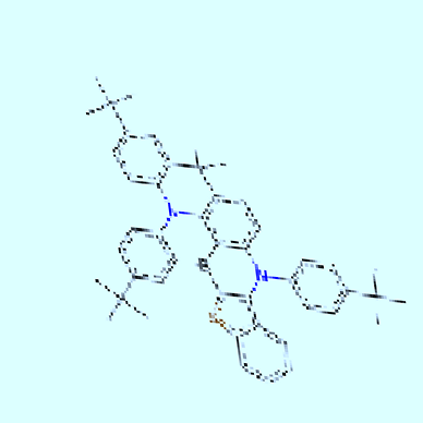 CC(C)(C)c1ccc(N2c3ccc4c5c3B(c3cc(C(C)(C)C)ccc3N5c3ccc(C(C)(C)C)cc3C4(C)C)c3sc4ccccc4c32)cc1